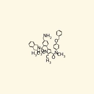 Cc1c(C(=O)N(C)c2ccc(OCc3ccccc3)cc2)cc(-c2ccc(CN)cc2C(=O)N2Cc3ccccc3C[C@H]2C)n1C